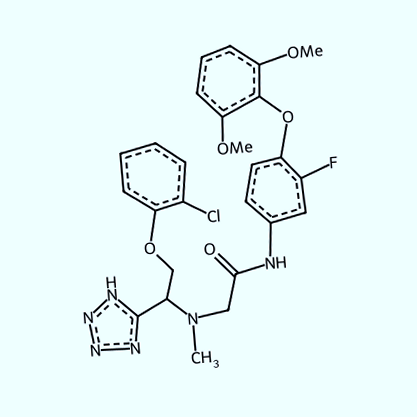 COc1cccc(OC)c1Oc1ccc(NC(=O)CN(C)C(COc2ccccc2Cl)c2nnn[nH]2)cc1F